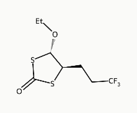 CCO[C@H]1SC(=O)S[C@@H]1CCC(F)(F)F